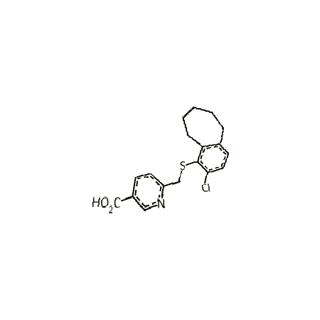 O=C(O)c1ccc(CSc2c(Cl)ccc3c2CCCCC3)nc1